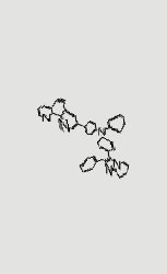 c1ccc(-c2nc3ccccn3c2-c2ccc(N(c3ccccc3)c3ccc(-c4cnc5c(ccc6cccnc65)c4)cc3)cc2)cc1